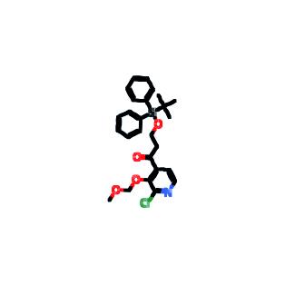 COCOc1c(C(=O)CCO[Si](c2ccccc2)(c2ccccc2)C(C)(C)C)ccnc1Cl